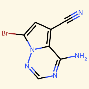 N#Cc1cc(Br)n2ncnc(N)c12